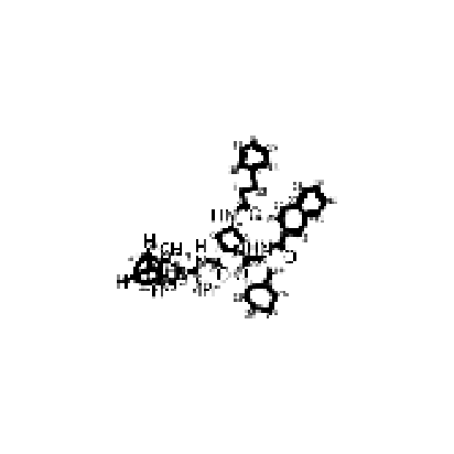 CC(C)[C@H](NC(=O)[C@@H]1C[C@H](NC(=O)CCc2ccccc2)CN1C(=O)[C@@H](CC1CCCCC1)NC(=O)c1ccc2ccccc2c1)B1O[C@@H]2C[C@@H]3C[C@@H](C3(C)C)[C@]2(C)O1